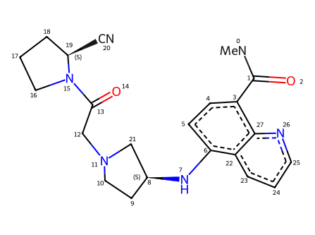 CNC(=O)c1ccc(N[C@H]2CCN(CC(=O)N3CCC[C@H]3C#N)C2)c2cccnc12